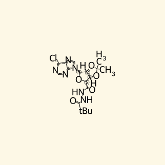 CC1(C)O[C@@H]2[C@H](O1)[C@@H](C(=O)NNC(=O)C(C)(C)C)O[C@H]2n1cnc2c(Cl)ncnc21